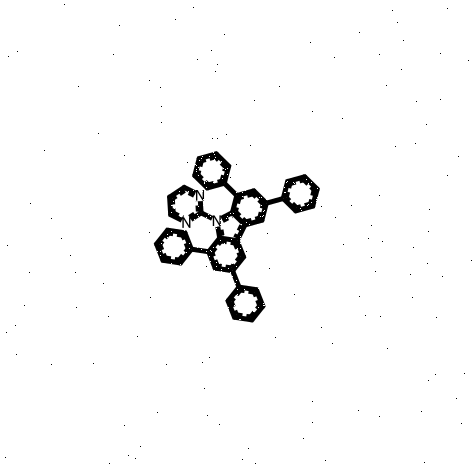 c1ccc(-c2cc(-c3ccccc3)c3c(c2)c2cc(-c4ccccc4)cc(-c4ccccc4)c2n3-c2ncccn2)cc1